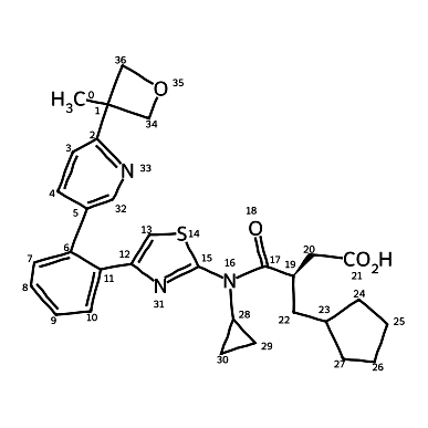 CC1(c2ccc(-c3ccccc3-c3csc(N(C(=O)[C@@H](CC(=O)O)CC4CCCC4)C4CC4)n3)cn2)COC1